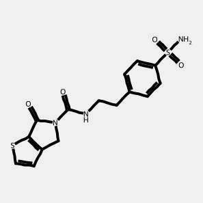 NS(=O)(=O)c1ccc(CCNC(=O)N2Cc3ccsc3C2=O)cc1